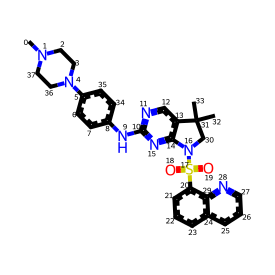 CN1CCN(c2ccc(Nc3ncc4c(n3)N(S(=O)(=O)c3cccc5cccnc35)CC4(C)C)cc2)CC1